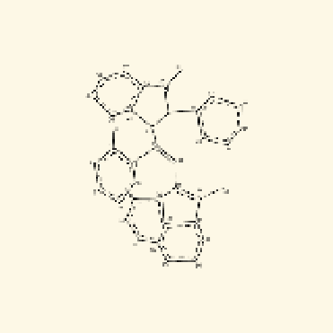 Cc1ccccc1/C(=C\C1=[N+](C)c2cccc3cccc1c23)C1c2ccccc2N(C)C1c1ccccc1